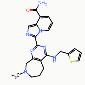 CN1CCCc2c(nc(-c3ncc4c(C(N)=O)cccn34)nc2NCc2cccs2)C1